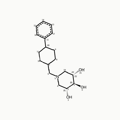 O[C@H]1[C@H](O)CN(CC2CCC(c3ccccc3)CC2)C[C@@H]1O